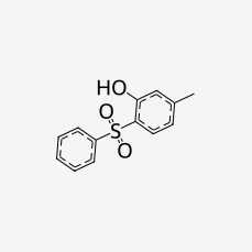 Cc1ccc(S(=O)(=O)c2ccccc2)c(O)c1